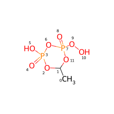 CC1OP(=O)(O)OP(=O)(OO)O1